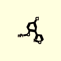 CCCOc1ccc(Cl)cc1-c1ccon1